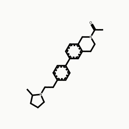 CC(=O)N1CCc2cc(-c3ccc(CCN4CCCC4C)cc3)ccc2C1